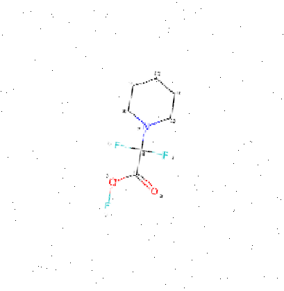 O=C(OF)C(F)(F)N1CCCCC1